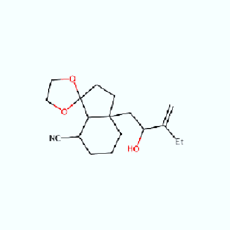 C=C(CC)C(O)CC12CCCC(C#N)C1C1(CC2)OCCO1